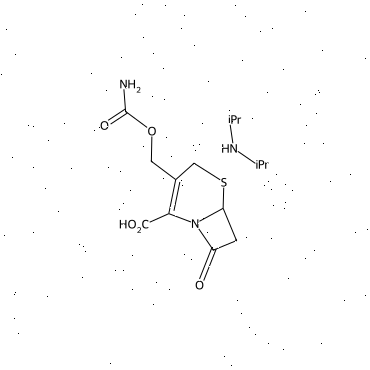 CC(C)NC(C)C.NC(=O)OCC1=C(C(=O)O)N2C(=O)CC2SC1